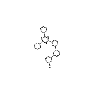 Clc1cccc(-c2cccc(-c3cccc(-c4nc(-c5ccccc5)nc(-c5ccccc5)n4)c3)c2)c1